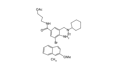 C.CCN(Cc1cc(C(=O)NCCCOC(C)=O)cc(Br)c1N)C1CCCCC1.COc1ccc2ccccc2c1